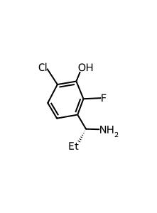 CC[C@@H](N)c1ccc(Cl)c(O)c1F